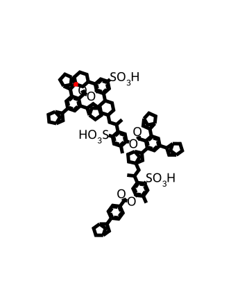 Cc1cc(S(=O)(=O)O)c(C(C)CC23CCC(C2)C(c2cc(C4CC5CCC4C5)cc(C4CC5CCC4C5)c2C(=O)Oc2cc(C(C)CC4CCC(c5cc(S(=O)(=O)O)cc(C6CCCCC6)c5OC(=O)c5c(C6CC7CCC6C7)cc(C6CC7CCC6C7)cc5C5CC6CCC5C6)CC4)c(S(=O)(=O)O)cc2C)C3)cc1OC(=O)c1ccc(C2CC3CCC2C3)cc1